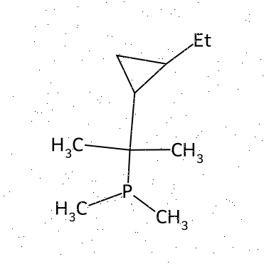 CCC1CC1C(C)(C)P(C)C